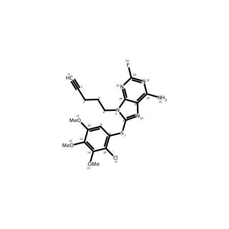 C#CCCCn1c(Sc2cc(OC)c(OC)c(OC)c2Cl)nc2c(N)nc(F)nc21